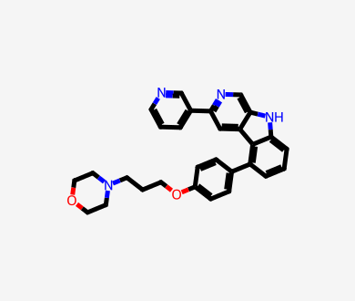 c1cncc(-c2cc3c(cn2)[nH]c2cccc(-c4ccc(OCCCN5CCOCC5)cc4)c23)c1